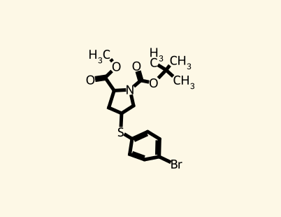 COC(=O)C1CC(Sc2ccc(Br)cc2)CN1C(=O)OC(C)(C)C